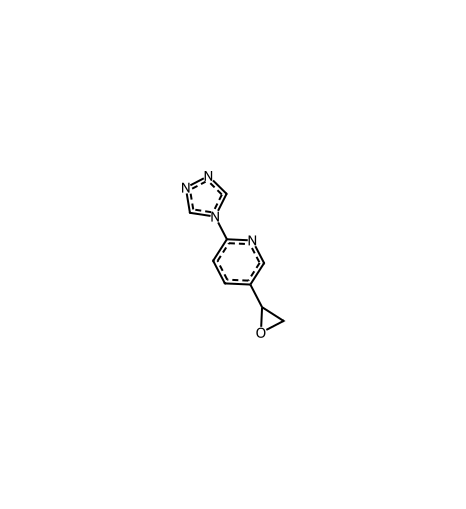 c1cc(-n2cnnc2)ncc1C1CO1